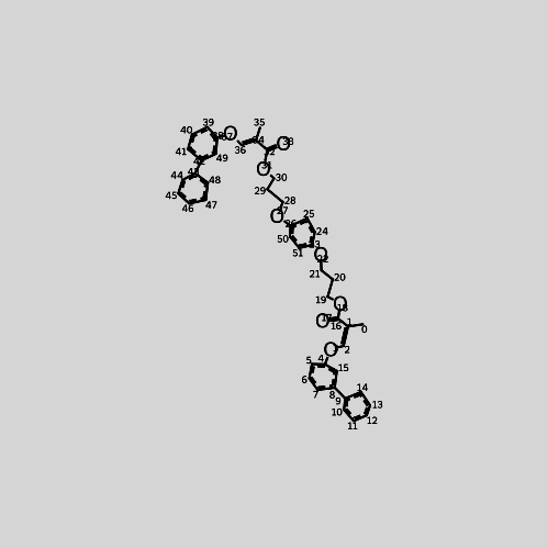 CC(=COc1cccc(-c2ccccc2)c1)C(=O)OCCCOc1ccc(OCCCOC(=O)C(C)=COc2cccc(-c3ccccc3)c2)cc1